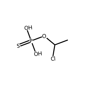 CC(Cl)OP(O)(O)=S